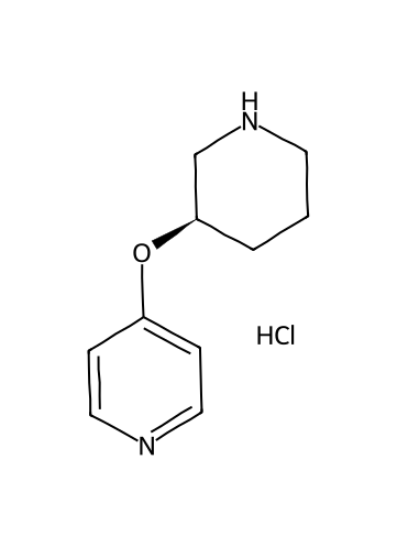 Cl.c1cc(O[C@@H]2CCCNC2)ccn1